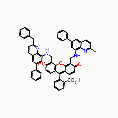 CCc1ccc2cc(-c3ccccc3)cc(NCc3c4oc5c(CNc6cc(-c7ccccc7)cc7ccc(Cc8ccccc8)nc67)c(O)ccc5c(-c5ccccc5C(=O)O)c-4ccc3=O)c2n1